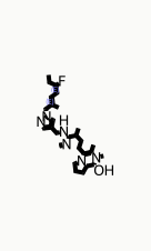 C=NC(NCc1cnn(C/C(C)=C/C=C(/F)CC)c1)C(C)CCC1=C(C)N(C)C(O)C2CCCN12